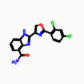 NC(=O)c1cccc2[nH]c(-c3coc(-c4ccc(Cl)cc4Cl)n3)nc12